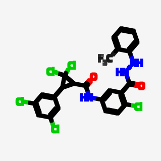 O=C(NNc1ccccc1C(F)(F)F)c1cc(NC(=O)C2C(c3cc(Cl)cc(Cl)c3)C2(Cl)Cl)ccc1Cl